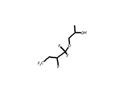 CC(O)COC(F)(F)C(F)CC(F)(F)F